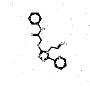 C=CCn1c(SCC(=O)Nc2ccccc2)nnc1-c1ccccn1